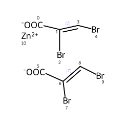 O=C([O-])/C(Br)=C/Br.O=C([O-])/C(Br)=C/Br.[Zn+2]